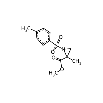 COC(=O)C1(C)CN1S(=O)(=O)c1ccc(C)cc1